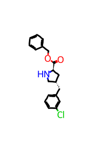 O=C(OCc1ccccc1)[C@H]1C[C@H](Cc2cccc(Cl)c2)CN1